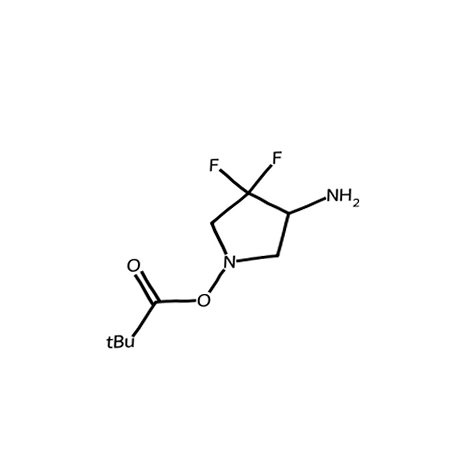 CC(C)(C)C(=O)ON1CC(N)C(F)(F)C1